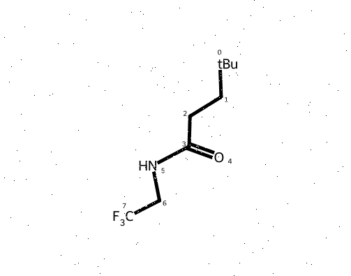 CC(C)(C)CCC(=O)NCC(F)(F)F